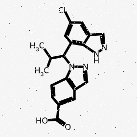 CC(C)C(c1cc(Cl)cc2cn[nH]c12)n1ncc2cc(C(=O)O)ccc21